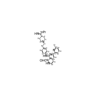 CCCC(=N)C1CCN(CCc2ccc(Nc3nc(-c4cccc(C)n4)cc4c3C(C=O)NC=C4)cc2)CC1